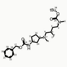 CN(CCC(F)CN(C)C1CC[C@H](NC(=O)OCc2ccccc2)C1)C(=O)OC(C)(C)C